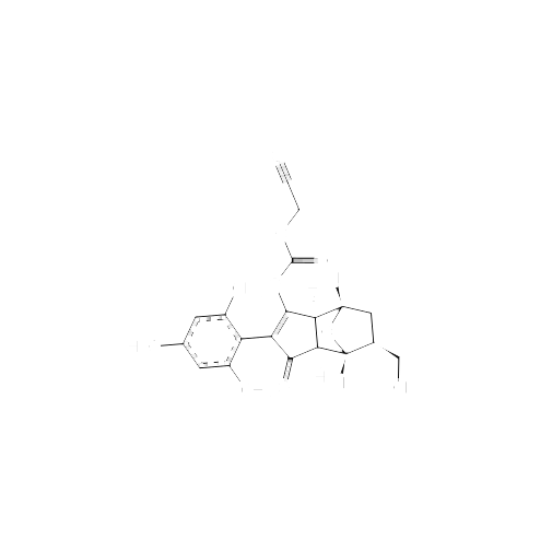 C#CCOC(=O)OC1=C(c2c(C)cc(C)cc2C)C(=O)[C@@H]2[C@@H]3O[C@@H](C[C@H]3CC)[C@H]12